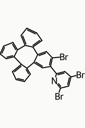 Brc1cc(Br)nc(-c2cc3c(cc2Br)-c2ccccc2-c2ccccc2-c2ccccc2-3)c1